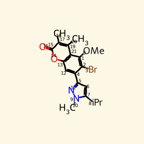 COc1c(Br)c(-c2cc(C(C)C)n(C)n2)cc2oc(=O)c(C)c(C)c12